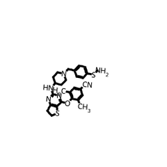 Cc1cc(C#N)cc(C)c1Oc1nc(NC2CCN(Cc3ccc(SN)cc3)CC2)nc2c1SCC2